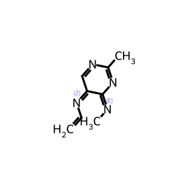 C=C/N=C1/C=NC(C)=N/C1=N/C